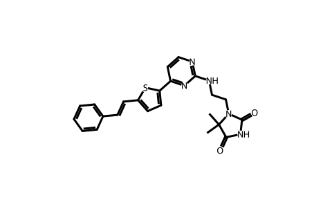 CC1(C)C(=O)NC(=O)N1CCNc1nccc(-c2ccc(/C=C/c3ccccc3)s2)n1